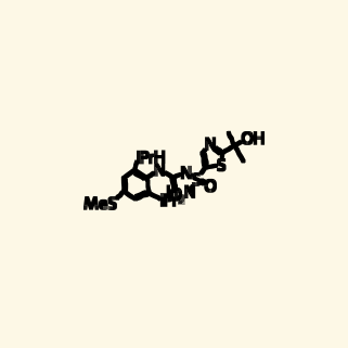 CSc1cc(C(C)C)c(NC(=O)N=S(N)(=O)c2cnc(C(C)(C)O)s2)c(C(C)C)c1